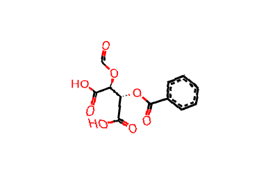 O=CO[C@H](C(=O)O)[C@H](OC(=O)c1ccccc1)C(=O)O